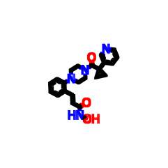 O=C(C=Cc1ccccc1N1CCN(C(=O)C2(c3cccnc3)CC2)CC1)NO